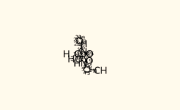 C#Cc1cccc(NC(=O)C2=C(O)C(C)(CCc3ccccc3)NC2=O)c1